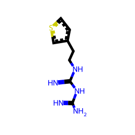 N=C(N)NC(=N)NCCc1ccsc1